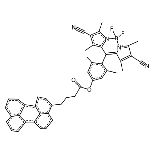 CC1=C(C#N)C(C)=[N+]2C1=C(c1c(C)cc(OC(=O)CCCc3ccc4c5cccc6cccc(c7cccc3c74)c65)cc1C)c1c(C)c(C#N)c(C)n1[B-]2(F)F